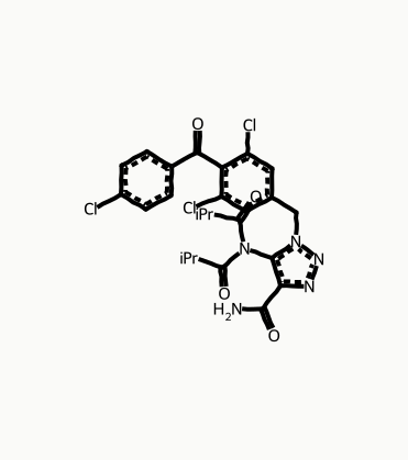 CC(C)C(=O)N(C(=O)C(C)C)c1c(C(N)=O)nnn1Cc1cc(Cl)c(C(=O)c2ccc(Cl)cc2)c(Cl)c1